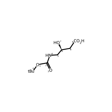 CC(C)(C)OC(=O)NC[C@@H](O)CC(=O)O